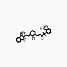 CCCNc1ccccc1C(C)(C)C(=O)/C=C/C1=C(Cl)C(=C/C=C2/N(CCC)c3ccccc3C2(C)C)/CCC1